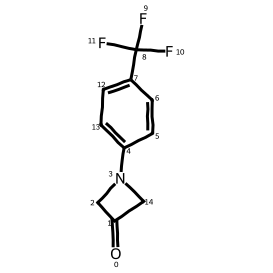 O=C1CN(c2ccc(C(F)(F)F)cc2)C1